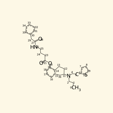 CCCN(CCc1cccs1)C1CCc2c(cccc2OC(=O)CCCNC(=O)Cc2ccccc2)C1